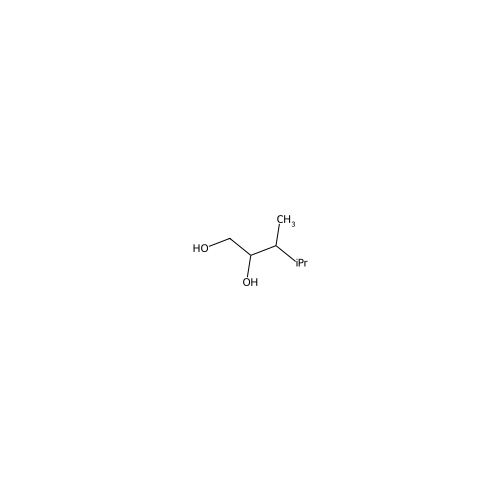 CC(C)C(C)C(O)CO